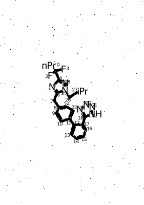 CCCC(F)(F)c1nc(Cc2ccc(-c3ccccc3-c3nnn[nH]3)cc2)n(CC(C)C)n1